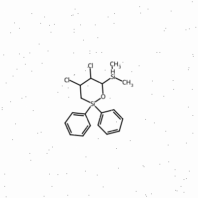 C[SiH](C)C1O[Si](c2ccccc2)(c2ccccc2)CC(Cl)C1Cl